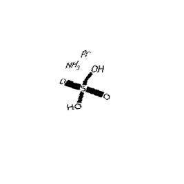 N.O=S(=O)(O)O.[Pr]